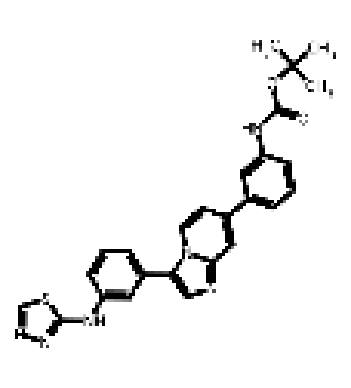 CC(C)(C)OC(=O)Nc1cccc(-c2ccn3c(-c4cccc(Nc5nncs5)c4)cnc3c2)c1